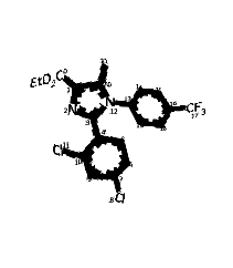 CCOC(=O)c1nc(-c2ccc(Cl)cc2Cl)n(-c2ccc(C(F)(F)F)cc2)c1C